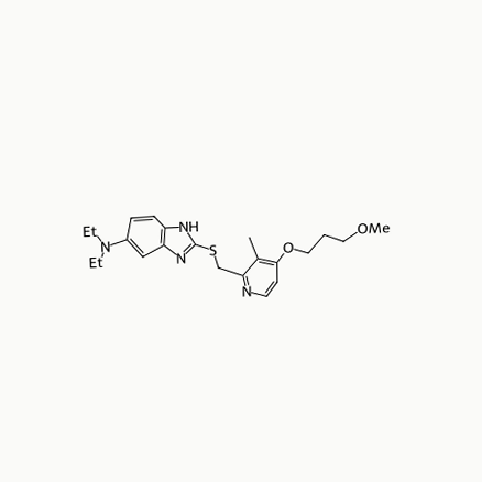 CCN(CC)c1ccc2[nH]c(SCc3nccc(OCCCOC)c3C)nc2c1